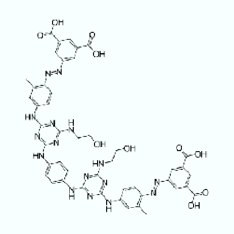 Cc1cc(Nc2nc(NCCO)nc(Nc3ccc(Nc4nc(NCCO)nc(Nc5ccc(N=Nc6cc(C(=O)O)cc(C(=O)O)c6)c(C)c5)n4)cc3)n2)ccc1N=Nc1cc(C(=O)O)cc(C(=O)O)c1